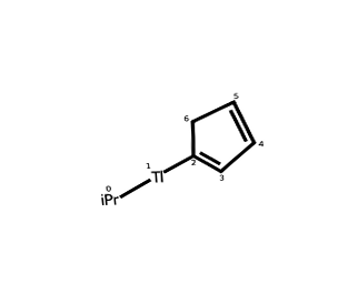 C[CH](C)[Tl][C]1=CC=CC1